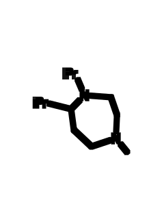 CC(C)C1CCN(C)CCN1C(C)C